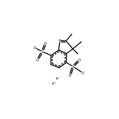 CC1=Nc2c(S(=O)(=O)[O-])ccc(S(=O)(=O)[O-])c2C1(C)C.[K+].[K+]